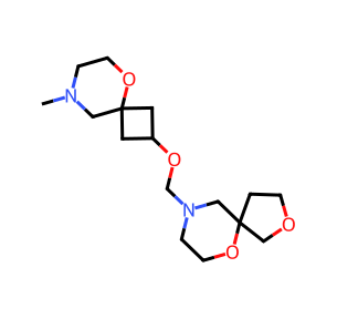 CN1CCOC2(CC(OCN3CCOC4(CCOC4)C3)C2)C1